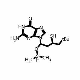 C[SiH](C)OC(CC(S)CC(C)(C)C)n1cnc2c(=O)[nH]c(N)nc21